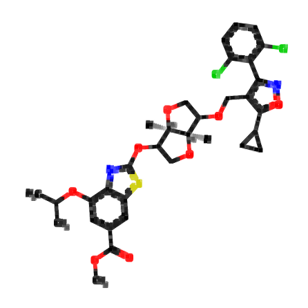 COC(=O)c1cc(OC(C)C)c2nc(OC3CO[C@@H]4C(OCc5c(-c6c(Cl)cccc6Cl)noc5C5CC5)CO[C@H]34)sc2c1